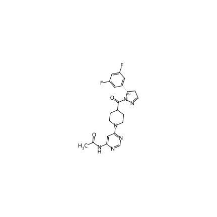 CC(=O)Nc1cc(N2CCC(C(=O)N3N=CC[C@H]3c3cc(F)cc(F)c3)CC2)ncn1